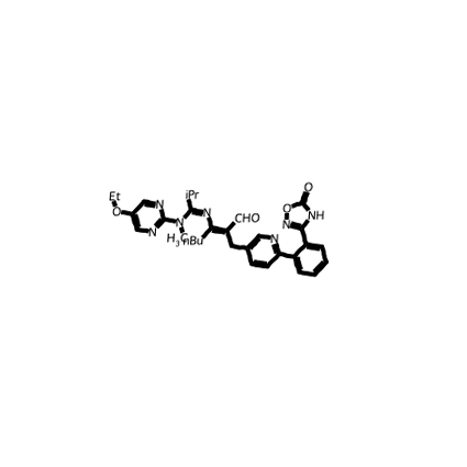 CCCCC(/N=C(/C(C)C)N(C)c1ncc(OCC)cn1)=C(/C=O)Cc1ccc(-c2ccccc2-c2noc(=O)[nH]2)nc1